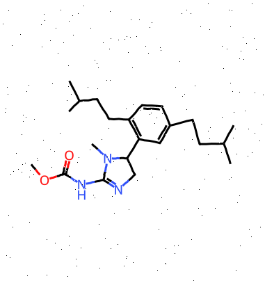 COC(=O)NC1=NCC(c2cc(CCC(C)C)ccc2CCC(C)C)N1C